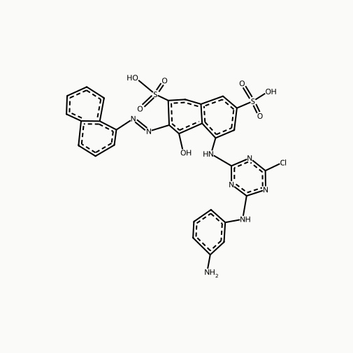 Nc1cccc(Nc2nc(Cl)nc(Nc3cc(S(=O)(=O)O)cc4cc(S(=O)(=O)O)c(/N=N/c5cccc6ccccc56)c(O)c34)n2)c1